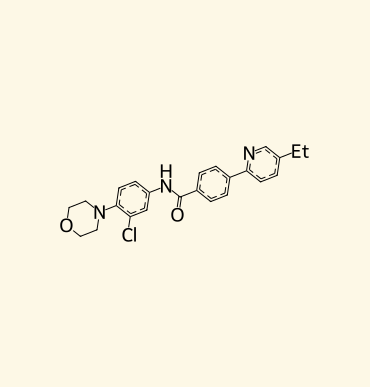 CCc1ccc(-c2ccc(C(=O)Nc3ccc(N4CCOCC4)c(Cl)c3)cc2)nc1